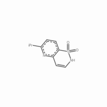 CC(C)c1ccc2c(n1)C=CNS2(=O)=O